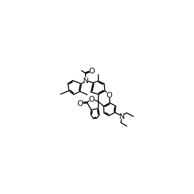 CCN(CC)c1ccc2c(c1)Oc1cc(C)c(N(C(C)=O)c3ccc(C)cc3C)cc1C21OC(=O)c2ccccc21